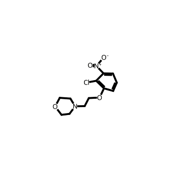 O=[N+]([O-])c1cccc(OCCN2CCOCC2)c1Cl